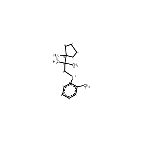 Cc1ccccc1OCC(C)(C)C1(C)CCCC1